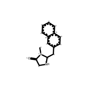 CN1C(=O)CNC1Cc1ccc2ccccc2c1